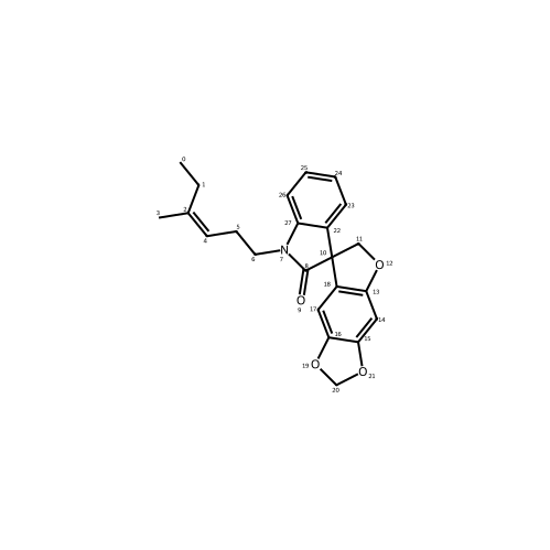 CC/C(C)=C\CCN1C(=O)C2(COc3cc4c(cc32)OCO4)c2ccccc21